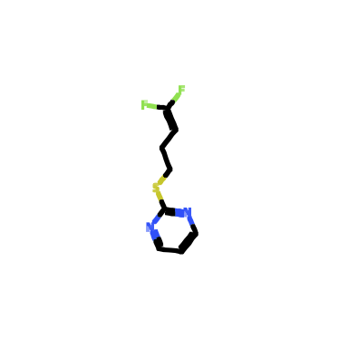 FC(F)=CCCSc1ncccn1